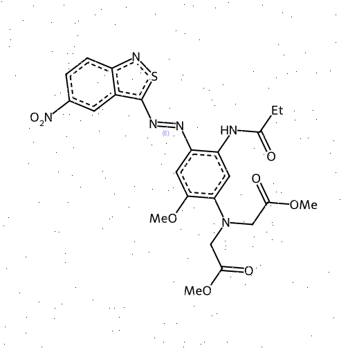 CCC(=O)Nc1cc(N(CC(=O)OC)CC(=O)OC)c(OC)cc1/N=N/c1snc2ccc([N+](=O)[O-])cc12